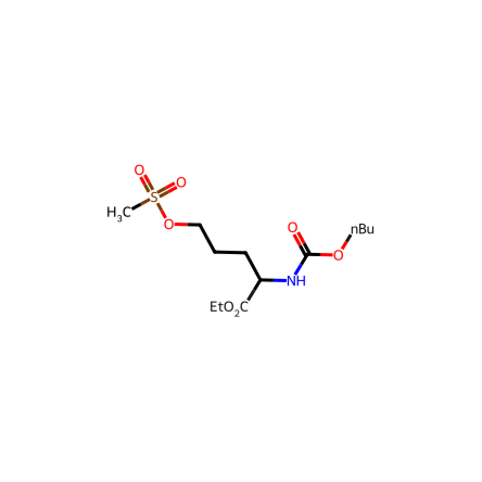 CCCCOC(=O)NC(CCCOS(C)(=O)=O)C(=O)OCC